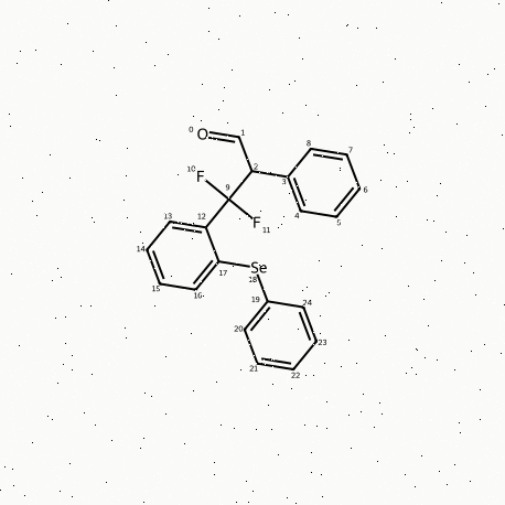 O=CC(c1ccccc1)C(F)(F)c1ccccc1[Se]c1ccccc1